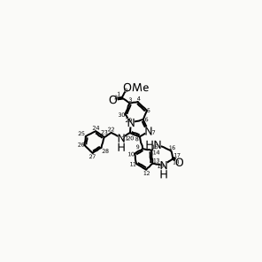 COC(=O)c1ccc2nc(-c3cccc4c3NCC(=O)N4)c(NCc3ccccc3)n2c1